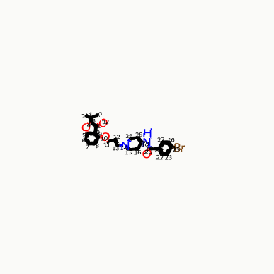 CC(C)=C1Oc2cccc(OCCCN3CCC(NC(=O)c4ccc(Br)cc4)CC3)c2C1=O